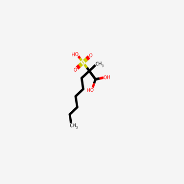 CCCCCCC(C)(C(O)O)S(=O)(=O)O